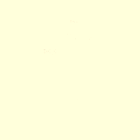 CCOC(=O)C(CCCc1ccccc1)CC(=O)OC(C)(C)C